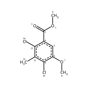 COC(=O)c1cc(OC)c(Cl)c(C)c1Cl